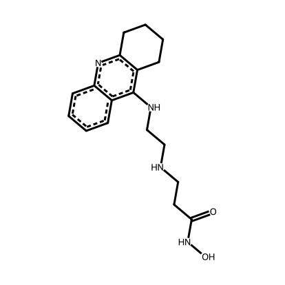 O=C(CCNCCNc1c2c(nc3ccccc13)CCCC2)NO